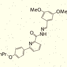 CCCOc1ccc(-c2cccc(C(=O)NN=Cc3cc(OC)cc(OC)c3)n2)cc1